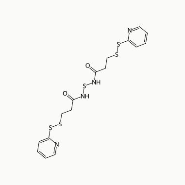 O=C(CCSSc1ccccn1)NSNC(=O)CCSSc1ccccn1